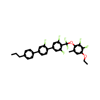 CCCc1ccc(-c2ccc(-c3cc(F)c(C(F)(F)Oc4c(C)cc(OCC)c(F)c4F)c(F)c3)c(F)c2)cc1